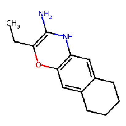 CCC1=C(N)Nc2cc3c(cc2O1)CCCC3